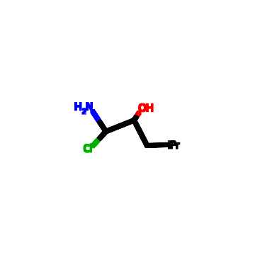 CC(C)CC(O)C(N)Cl